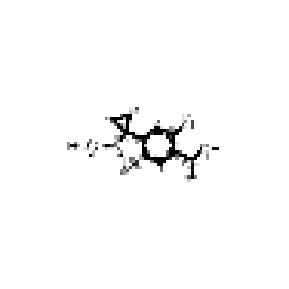 C[C@H](O)c1ccc(C2(N(C(=O)O)C(C)(C)C)CC2)cc1Cl